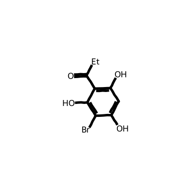 CCC(=O)c1c(O)cc(O)c(Br)c1O